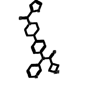 O=C(c1cccs1)N1CCC(c2ccc(N(C(=O)C3CNC3)c3cccnc3)cc2)CC1